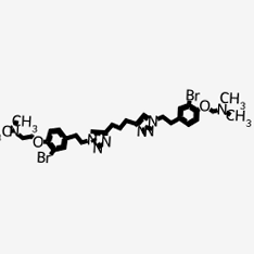 CN(C)CCOc1ccc(CCn2cc(CCCc3cn(CCc4ccc(OCN(C)C)c(Br)c4)nn3)nn2)cc1Br